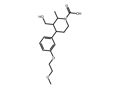 COCCOc1cccc(C2CCN(C(=O)O)C(C)C2CO)c1